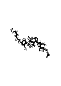 C=Cc1cc(C(=O)c2cnn(-c3ccc(OC/C=C\C=C/CF)cc3C)c2N)[nH]c1/C=C/NSC1CC1